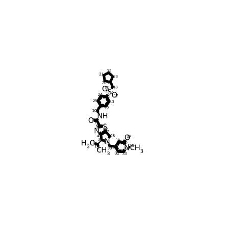 CC(C)[C@H]1c2nc(C(=O)NCc3ccc(S(=O)(=O)CC4CCCC4)cc3)sc2CN1Cc1ccn(C)c(=O)c1